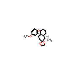 COc1cccc([C@]23CCC4(OCCO4)[C@@H](C)[C@@H]2CCCC3=O)c1